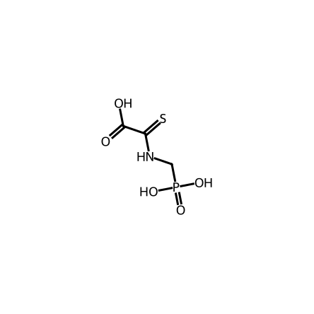 O=C(O)C(=S)NCP(=O)(O)O